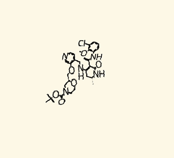 C=C(Nc1cccc(Cl)c1OC)C1=C(NCc2ccncc2OC[C@@H]2CN(C(=O)OC(C)(C)C)CCO2)C[C@@H](C)NC1=O